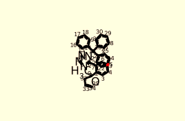 CC1(c2ccccc2-c2nnnn2C(c2ccccc2)(c2ccccc2)c2ccccc2)CC=CO1